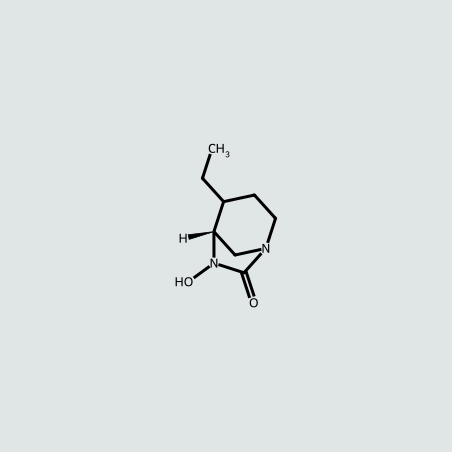 CCC1CCN2C[C@@H]1N(O)C2=O